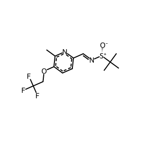 Cc1nc(/C=N/[S@+]([O-])C(C)(C)C)ccc1OCC(F)(F)F